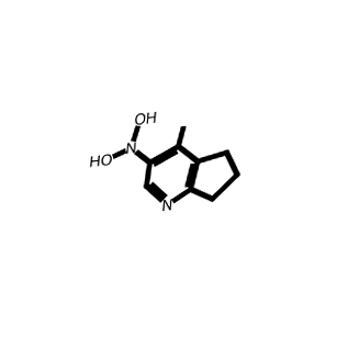 Cc1c(N(O)O)cnc2c1CCC2